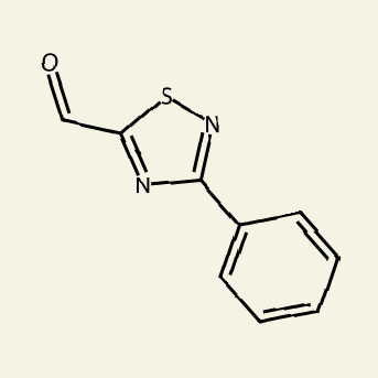 O=Cc1nc(-c2ccccc2)ns1